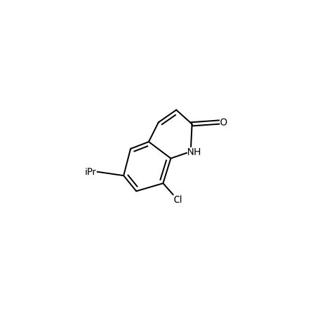 CC(C)c1cc(Cl)c2[nH]c(=O)ccc2c1